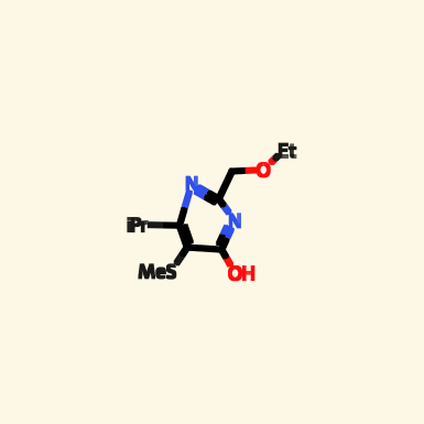 CCOCc1nc(O)c(SC)c(C(C)C)n1